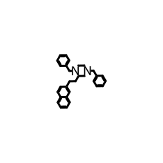 c1ccc(CN2CCN(Cc3ccccc3)C(CCc3ccc4ccccc4c3)C2)cc1